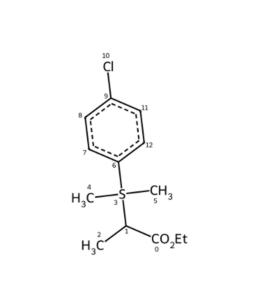 CCOC(=O)C(C)S(C)(C)c1ccc(Cl)cc1